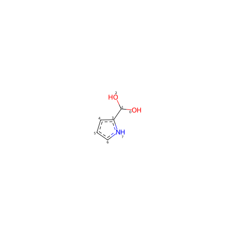 O[C](O)c1ccc[nH]1